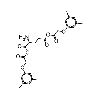 Cc1cc(C)cc(OCC(=O)OC(=O)CC[C@H](N)C(=O)OC(=O)COc2cc(C)cc(C)c2)c1